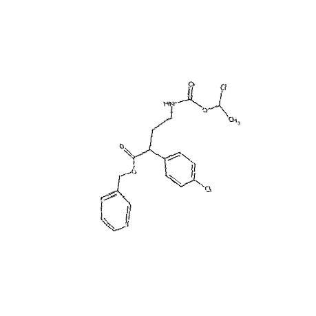 CC(Cl)OC(=O)NCCC(C(=O)OCc1ccccc1)c1ccc(Cl)cc1